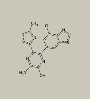 Cc1ccn(-c2nc(N)c(O)nc2-c2cc(Cl)c3ncsc3c2)n1